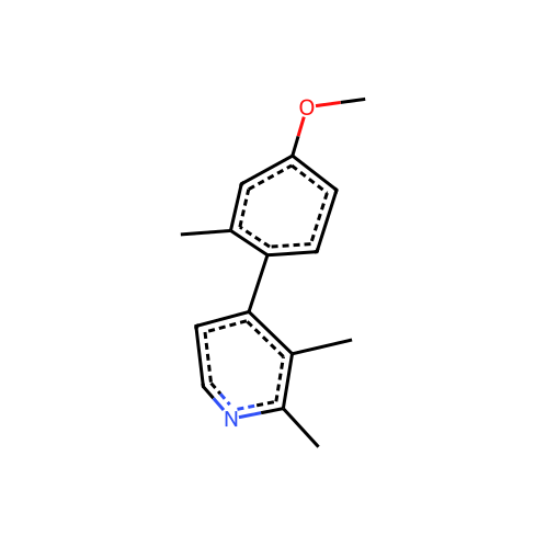 COc1ccc(-c2ccnc(C)c2C)c(C)c1